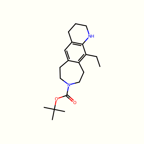 CCc1c2c(cc3c1NCCC3)CCN(C(=O)OC(C)(C)C)CC2